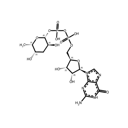 C[C@@H]1O[C@H](OP(=O)(O)OP(=O)(O)OC[C@H]2O[C@@H](n3cnc4c(=O)[nH]c(N)nc43)[C@H](O)[C@@H]2O)[C@@H](O)C[C@@H]1O